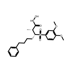 COc1ccc(S(=O)(=O)[C@H](CCCCc2ccccc2)[C@H](C)C(=O)NO)cc1OC